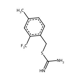 Cc1ccc(CSC(=N)N)c(C(F)(F)F)c1